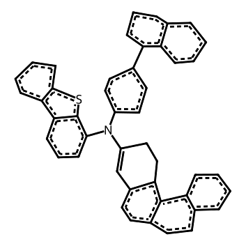 C1=C(N(c2ccc(-c3cccc4ccccc34)cc2)c2cccc3c2sc2ccccc23)CCc2c1ccc1ccc3ccccc3c21